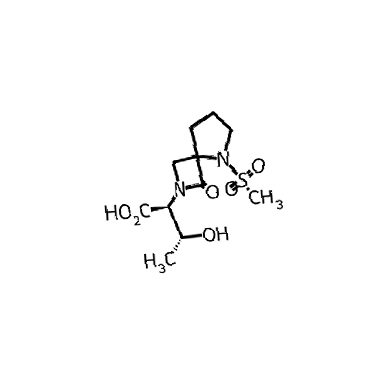 C[C@@H](O)[C@@H](C(=O)O)N1CC2(CCCN2S(C)(=O)=O)C1=O